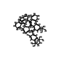 Cc1cc2c(cc1N1c3cc(C(C)(C)C)cc4c3B(c3c1ccc1c3C(C)(C)c3ccccc3-1)n1c3c-4cccc3c3oc4ccccc4c31)C(C)(C)CCC2(C)C